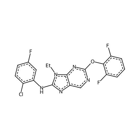 CCn1c(Nc2cc(F)ccc2Cl)nc2cnc(Oc3c(F)cccc3F)nc21